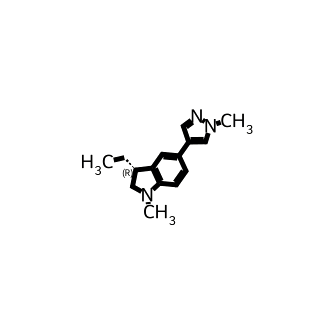 CC[C@H]1CN(C)c2ccc(-c3cnn(C)c3)cc21